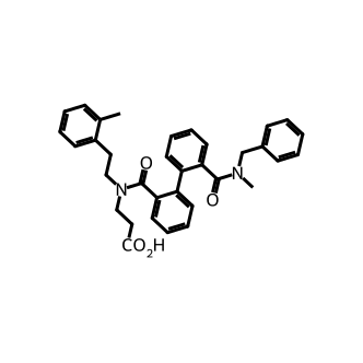 Cc1ccccc1CCN(CCC(=O)O)C(=O)c1ccccc1-c1ccccc1C(=O)N(C)Cc1ccccc1